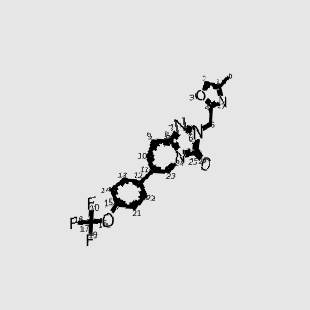 Cc1coc(Cn2nc3ccc(-c4ccc(OC(F)(F)F)cc4)cn3c2=O)n1